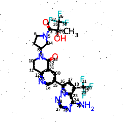 C[C@@](O)(C(=O)N1CCC(N2CCc3ncc(-c4cc(C(F)(F)F)c5c(N)ncnn45)cc3C2=O)C1)C(F)(F)F